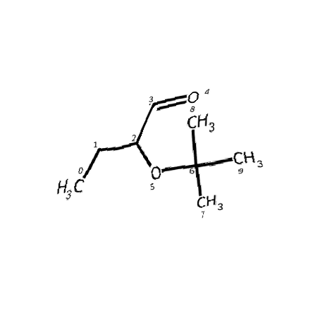 CCC([C]=O)OC(C)(C)C